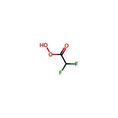 O=C(OO)C(F)F